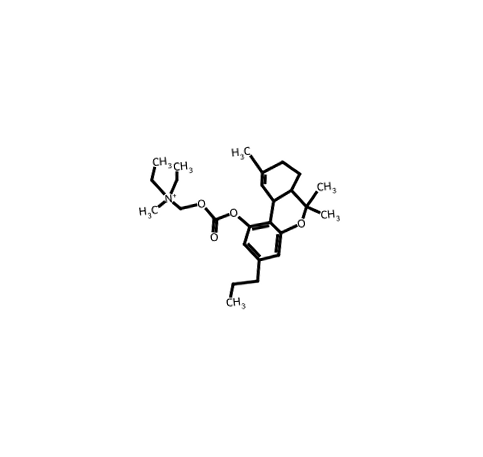 CCCc1cc(OC(=O)OC[N+](C)(CC)CC)c2c(c1)OC(C)(C)C1CCC(C)=CC21